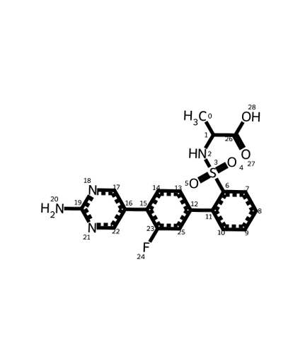 CC(NS(=O)(=O)c1ccccc1-c1ccc(-c2cnc(N)nc2)c(F)c1)C(=O)O